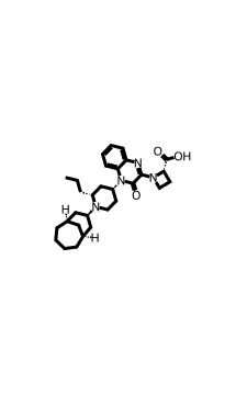 CCC[C@@H]1C[C@H](n2c(=O)c(N3CC[C@H]3C(=O)O)nc3ccccc32)CCN1[C@@H]1C[C@@H]2CCCC[C@@H](C2)C1